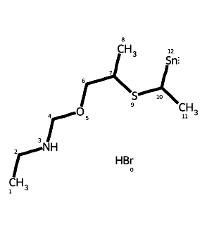 Br.CCNCOCC(C)S[CH](C)[Sn]